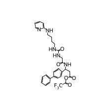 O=C(CNC(=O)NCCCCNc1ccccn1)NC(CC(=O)OC(=O)C(F)(F)F)c1ccc(-c2ccccc2)cc1